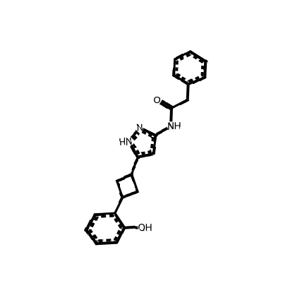 O=C(Cc1ccccc1)Nc1cc(C2CC(c3ccccc3O)C2)[nH]n1